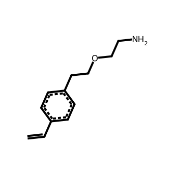 C=Cc1ccc(CCOCCN)cc1